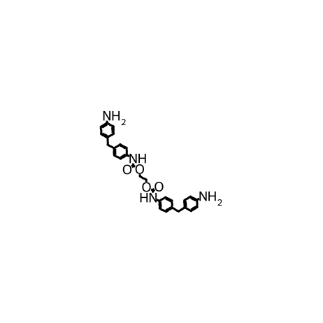 Nc1ccc(Cc2ccc(NC(=O)OCCOC(=O)Nc3ccc(Cc4ccc(N)cc4)cc3)cc2)cc1